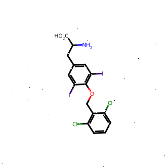 NC(Cc1cc(I)c(OCc2c(Cl)cccc2Cl)c(I)c1)C(=O)O